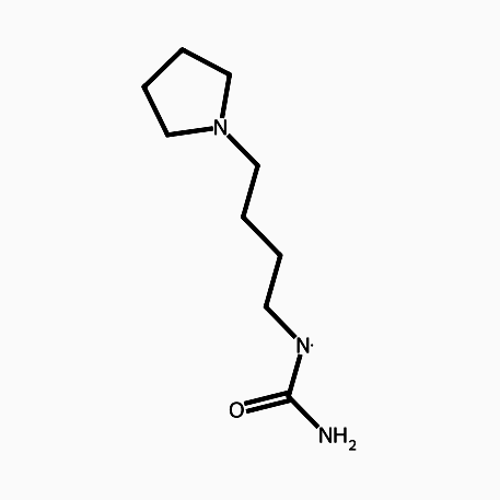 NC(=O)[N]CCCCN1CCCC1